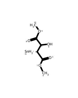 COC(=O)CC(O)C(=O)OC.[SnH2]